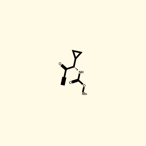 C#CC(=O)[C@@H](NC(=O)OC(C)(C)C)C1CC1